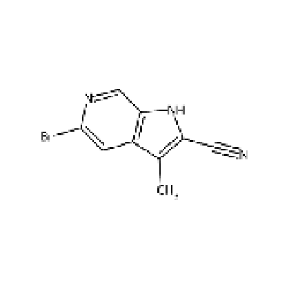 Cc1c(C#N)[nH]c2cnc(Br)cc12